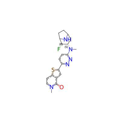 CN(c1ccc(-c2cc3c(=O)n(C)ccc3s2)nn1)[C@H]1CC2CCC(N2)[C@H]1F